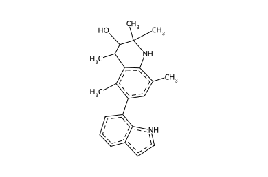 Cc1cc(-c2cccc3cc[nH]c23)c(C)c2c1NC(C)(C)C(O)C2C